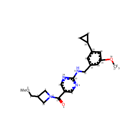 COCC1CN(C(=O)c2cnc(NCc3cc(OC(F)(F)F)cc(C4CC4)c3)nc2)C1